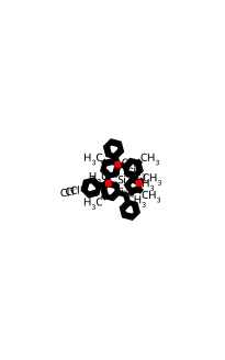 CC1=C(C)[C]([Ti+3])([Si](c2c(C)cc(C)cc2Cc2ccccc2)(c2c(C)cc(C)cc2Cc2ccccc2)c2c(C)cc(C)cc2Cc2ccccc2)C(C)=C1C.[Cl-].[Cl-].[Cl-]